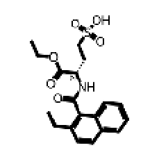 CCOC(=O)[C@H](CCS(=O)(=O)O)NC(=O)c1c(CC)ccc2ccccc12